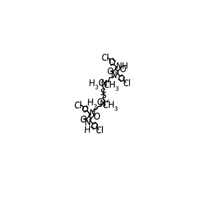 C[N+](C)(CCCCN1C(=O)C2=C(c3ccc(Cl)cc3)NC(=O)C2=C1c1ccc(Cl)cc1)CCSSCC[N+](C)(C)CCCCN1C(=O)C2=C(c3ccc(Cl)cc3)NC(=O)C2=C1c1ccc(Cl)cc1